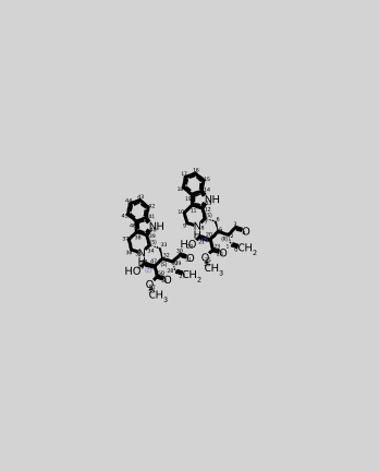 C=C[C@@H](C=O)[C@H](C[C@@H]1NCCc2c1[nH]c1ccccc21)/C(=C/O)C(=O)OC.C=C[C@@H](C=O)[C@H](C[C@@H]1NCCc2c1[nH]c1ccccc21)/C(=C/O)C(=O)OC